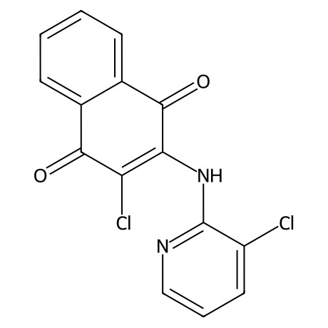 O=C1C(Cl)=C(Nc2ncccc2Cl)C(=O)c2ccccc21